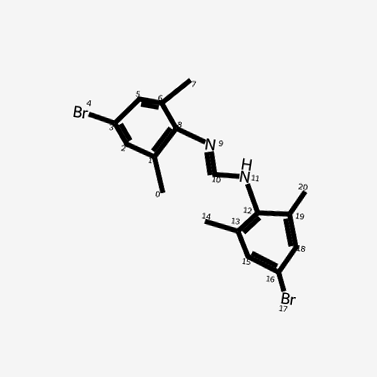 Cc1cc(Br)cc(C)c1/N=C/Nc1c(C)cc(Br)cc1C